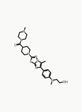 Cc1c(-c2ccc(N(C)CCO)cc2)nc2sc(N3CCC(C(=O)N4CCN(C)CC4)CC3)nn12